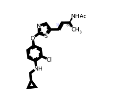 CC(=O)N[C@@H](C)/C=C/c1cnc(Oc2ccc(NCC3CC3)c(Cl)c2)s1